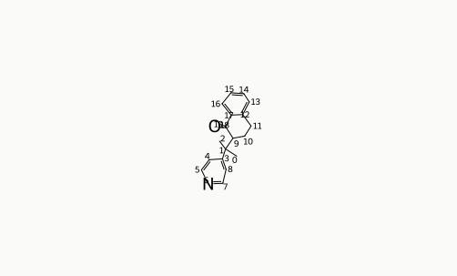 CC(C)(c1ccncc1)C1CCc2ccccc2C1=O